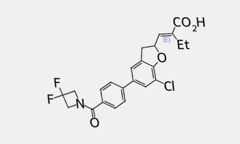 CC/C(=C\C1Cc2cc(-c3ccc(C(=O)N4CC(F)(F)C4)cc3)cc(Cl)c2O1)C(=O)O